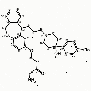 NOC(=O)CCOc1ccc2c(c1)C(CCCN1CCC(O)(c3ccc(Cl)cc3)CC1)C1C=CC=NC1CO2